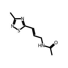 CC(=O)NCC=Cc1nc(C)ns1